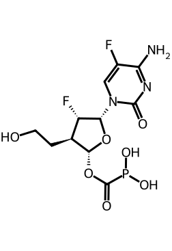 Nc1nc(=O)n([C@@H]2O[C@H](OC(=O)P(O)O)[C@@H](CCO)[C@@H]2F)cc1F